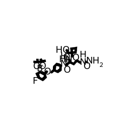 CC1(C)OB(c2cc(F)ccc2OCc2ccc(NC(=O)C(CCCNC(N)=O)NC(=O)C3(C(=O)O)CCC3)cc2)OC1(C)C